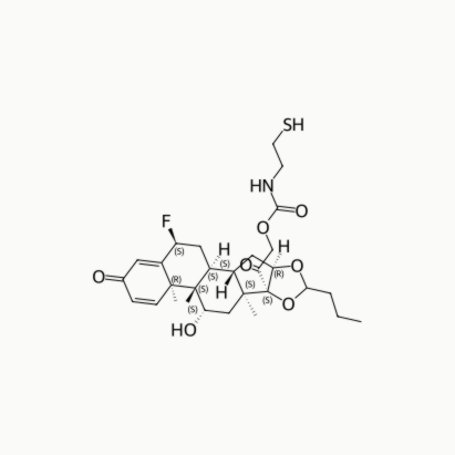 CCCC1O[C@@H]2C[C@H]3[C@@H]4C[C@H](F)C5=CC(=O)C=C[C@]5(C)[C@@]4(C)[C@@H](O)C[C@]3(C)[C@]2(C(=O)COC(=O)NCCS)O1